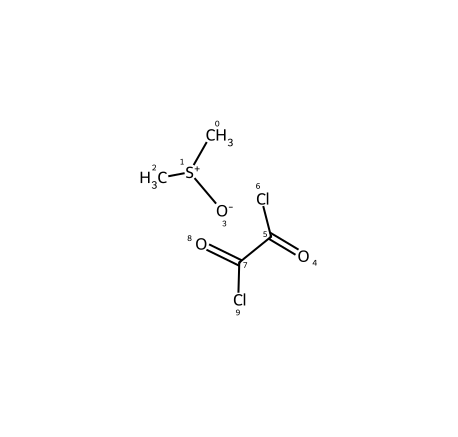 C[S+](C)[O-].O=C(Cl)C(=O)Cl